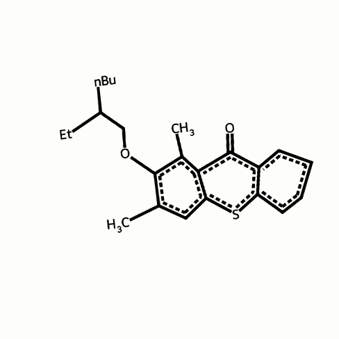 CCCCC(CC)COc1c(C)cc2sc3ccccc3c(=O)c2c1C